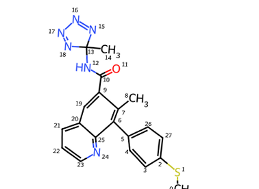 CSc1ccc(-c2c(C)c(C(=O)NC3(C)N=NN=N3)cc3cccnc23)cc1